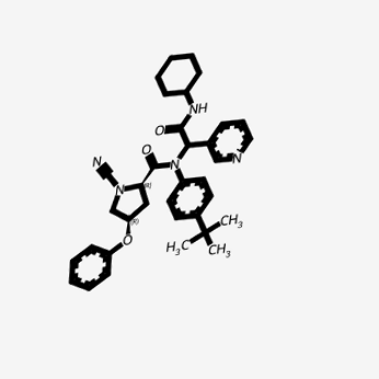 CC(C)(C)c1ccc(N(C(=O)[C@H]2C[C@@H](Oc3ccccc3)CN2C#N)C(C(=O)NC2CCCCC2)c2cccnc2)cc1